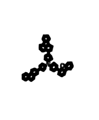 c1ccc2c(c1)-c1cccc3c(-c4ccc(N(c5ccc(-c6ccc7c(ccc8ccccc87)c6)cc5)c5ccc(-c6cccc7c6oc6ccccc67)cc5)cc4)ccc-2c13